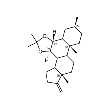 C=C1CCC2C3C(CC[C@]12C)[C@@]1(C)CC[C@H](C)CC1[C@H]1OC(C)(C)O[C@H]31